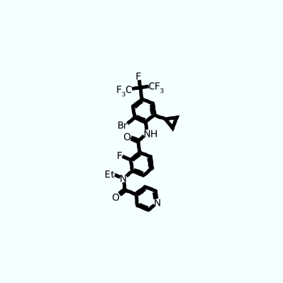 CCN(C(=O)c1ccncc1)c1cccc(C(=O)Nc2c(Br)cc(C(F)(C(F)(F)F)C(F)(F)F)cc2C2CC2)c1F